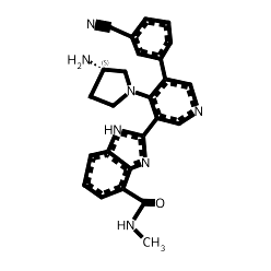 CNC(=O)c1cccc2[nH]c(-c3cncc(-c4cccc(C#N)c4)c3N3CC[C@H](N)C3)nc12